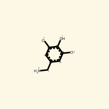 NCc1cc(Cl)c(O)c(Cl)c1